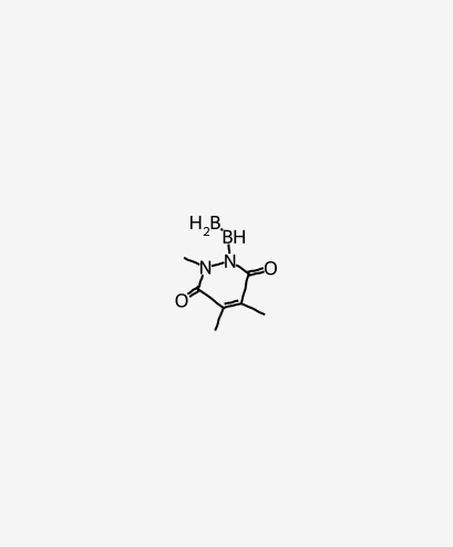 BBn1c(=O)c(C)c(C)c(=O)n1C